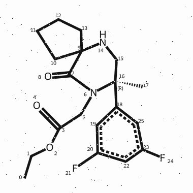 CCOC(=O)CN1C(=O)C2(CCCC2)NC[C@@]1(C)c1cc(F)cc(F)c1